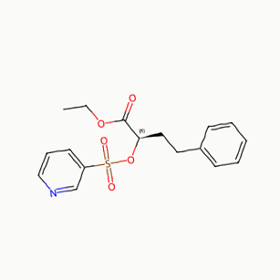 CCOC(=O)[C@@H](CCc1ccccc1)OS(=O)(=O)c1cccnc1